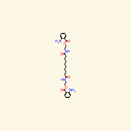 Nc1ccccc1C(=O)OCCNC(=O)CCCCCCCCC(=O)NCCOC(=O)c1ccccc1N